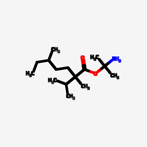 CCC(C)CCC(C)(C(=O)OC(C)(C)N)C(C)C